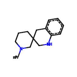 CCCN1CCCC2(CNc3ccccc3C2)C1